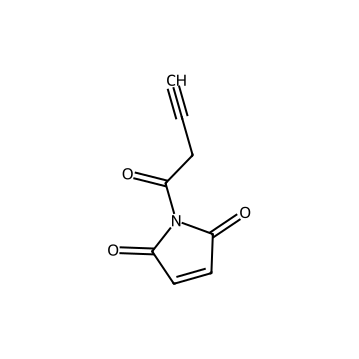 C#CCC(=O)N1C(=O)C=CC1=O